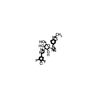 Cc1nc2ccc(-n3cnnc3[C@@H]3O[C@H](CO)[C@H](O)[C@H](n4cc(-c5cc(F)c(Cl)c(F)c5)nn4)[C@H]3O)cc2s1